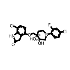 O=C1Cc2c(OC[C@]3(O)CCN(c4ccc(Cl)cc4F)C[C@H]3O)ccc(Cl)c2N1